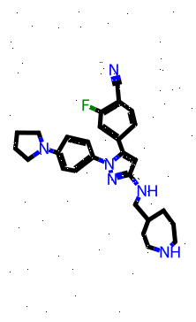 N#Cc1ccc(-c2cc(NCC3CCCNCC3)nn2-c2ccc(N3CCCC3)cc2)cc1F